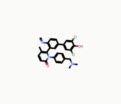 C=Nc1ccc(-c2cc(Cl)c(O)c(Cl)c2)cc1-c1c(C)ccc(=O)n1-c1ccc(CN(C)C)cc1